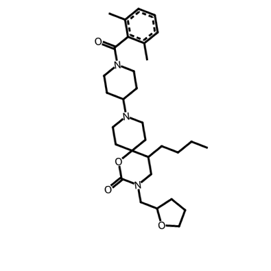 CCCCC1CN(CC2CCCO2)C(=O)OC12CCN(C1CCN(C(=O)c3c(C)cccc3C)CC1)CC2